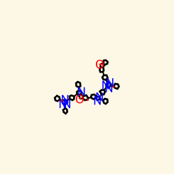 c1ccc(-c2cc(-c3ccc(-c4nc(-c5ccccc5)nc(-c5ccccc5)n4)cc3)c3oc4ccc(-c5ccc6c(c5)nc(-c5ccccc5)n6-c5ccc(-c6nc(-c7ccccc7)nc(-c7ccc(-c8ccc9oc%10ccccc%10c9c8)cc7)n6)cc5)cc4c3n2)cc1